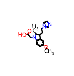 COc1ccc2c(c1)C(CCn1ccnc1)C(C)N2CC(=O)O